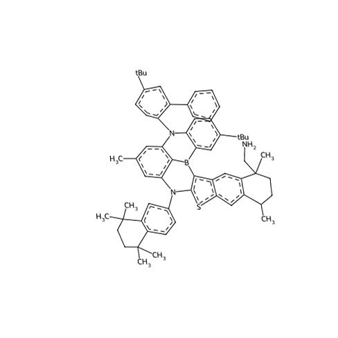 Cc1cc2c3c(c1)N(c1ccc4c(c1)C(C)(C)CCC4(C)C)c1sc4cc5c(cc4c1B3c1cc(C(C)(C)C)ccc1N2c1ccc(C(C)(C)C)cc1-c1ccccc1)C(C)(CN)CCC5C